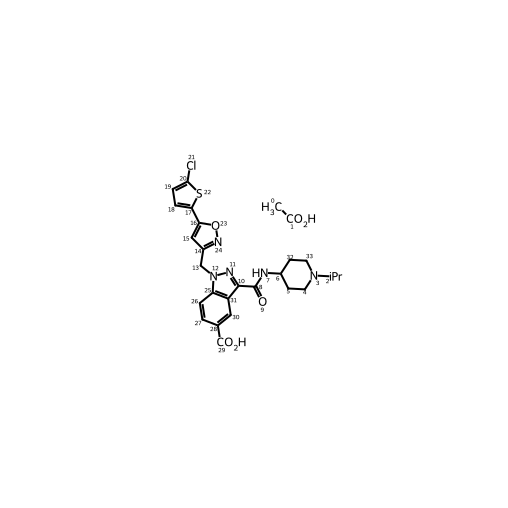 CC(=O)O.CC(C)N1CCC(NC(=O)c2nn(Cc3cc(-c4ccc(Cl)s4)on3)c3ccc(C(=O)O)cc23)CC1